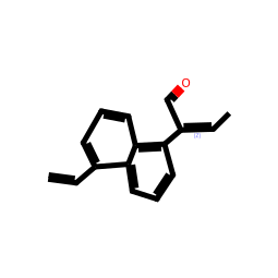 C=Cc1cccc2c(/C(C=O)=C/C)cccc12